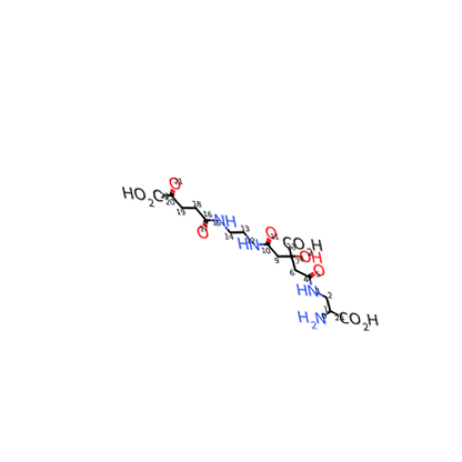 NC(CNC(=O)CC(O)(CC(=O)NCCNC(=O)CCC(=O)C(=O)O)C(=O)O)C(=O)O